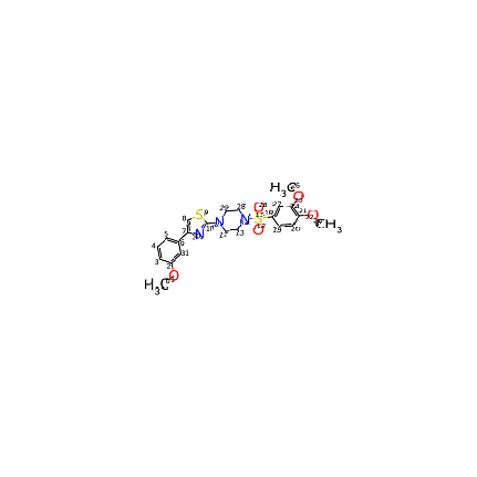 COc1cccc(-c2csc(N3CCN(S(=O)(=O)c4ccc(OC)c(OC)c4)CC3)n2)c1